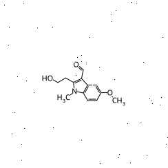 COc1ccc2c(c1)c(C=O)c(CCO)n2C